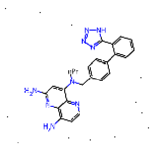 CCCN(Cc1ccc(-c2ccccc2-c2nnn[nH]2)cc1)c1cc(N)nc2c(N)ccnc12